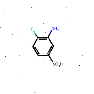 Nc1cc(S(=O)(=O)O)ccc1F